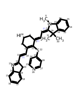 CN1/C(=C/C=C2\CCCC(/C=C/C3=Nc4ccccc4C3)=C2Sc2ccncc2)C(C)(C)c2ccccc21.I